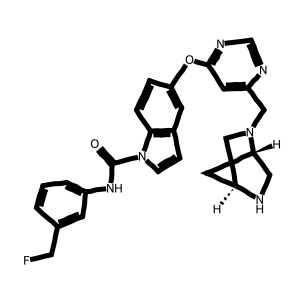 O=C(Nc1cccc(CF)c1)n1ccc2cc(Oc3cc(CN4CC56C[C@@H]5NC[C@@H]46)ncn3)ccc21